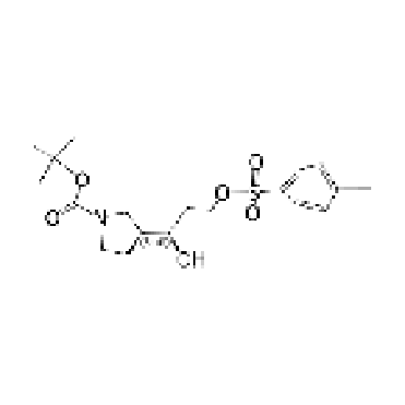 Cc1ccc(S(=O)(=O)OCC[C@@H](O)[C@H]2CCN(C(=O)OC(C)(C)C)C2)cc1